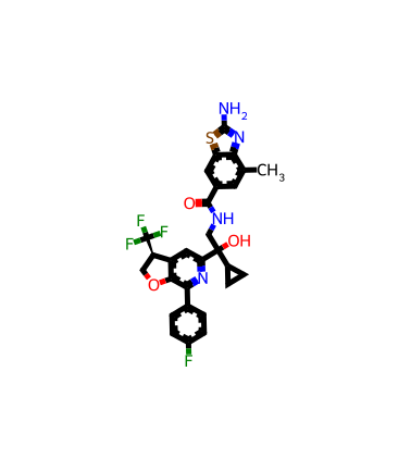 Cc1cc(C(=O)NCC(O)(c2cc3c(c(-c4ccc(F)cc4)n2)OC[C@H]3C(F)(F)F)C2CC2)cc2sc(N)nc12